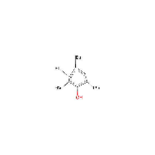 CCc1c(C(C)CC)cc(C(C)(C)C)c(O)c1C(C)(C)C